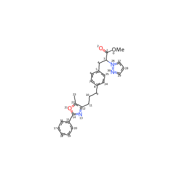 COC(=O)C(Cc1ccc(CCCc2nc(-c3ccccc3)oc2C)cc1)n1cccn1